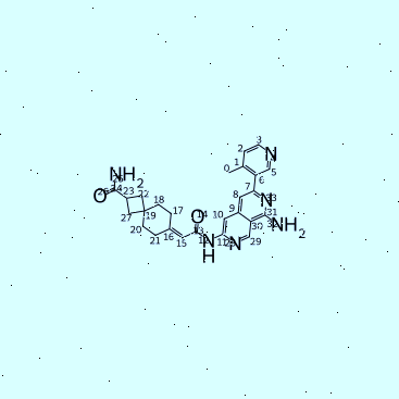 Cc1ccncc1-c1cc2cc(NC(=O)C=C3CCC4(CC3)CC(C(N)=O)C4)ncc2c(N)n1